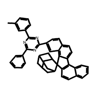 Cc1cccc(-c2nc(-c3ccccc3)nc(-c3ccc4ccc5c(c4c3)C3(c4ccc6ccccc6c4-5)C4CC5CC(C4)CC3C5)n2)c1